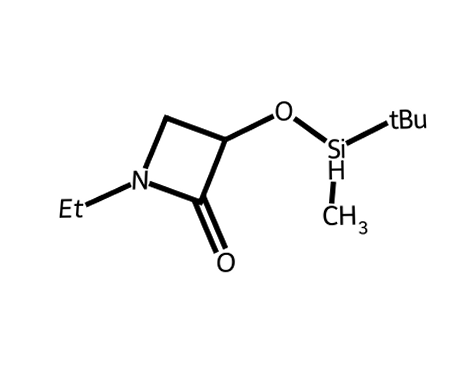 CCN1CC(O[SiH](C)C(C)(C)C)C1=O